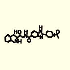 CC(=O)N1CCC(c2nc3cc(C(=O)NCC(O)C4Cc5ccccc5CN4)ccc3[nH]2)CC1